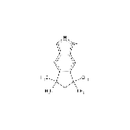 CC1(C)CC(C)(C)c2nc3cn[nH]c3cc21